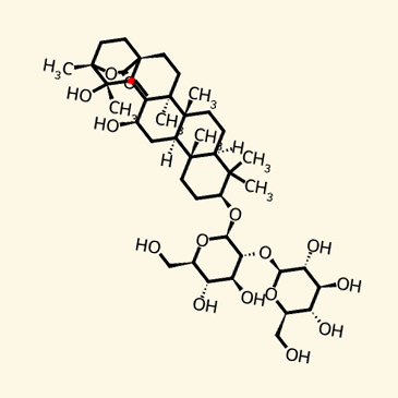 CC1(C)[C@@H](O[C@@H]2O[C@H](CO)[C@@H](O)[C@H](O)[C@H]2O[C@@H]2O[C@H](CO)[C@@H](O)[C@H](O)[C@H]2O)CC[C@]2(C)[C@H]3C[C@@H](O)C4=C5[C@]6(CC[C@](C)(OC6=O)[C@@]5(C)O)CC[C@@]4(C)[C@]3(C)CC[C@@H]12